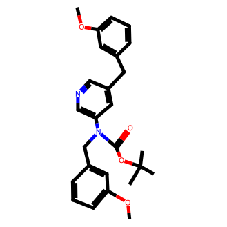 COc1cccc(Cc2cncc(N(Cc3cccc(OC)c3)C(=O)OC(C)(C)C)c2)c1